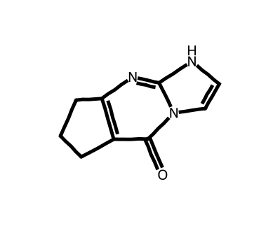 O=c1c2c(nc3[nH]ccn13)CCC2